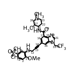 COc1ccc(P(C)(C)=O)cc1NCC#Cc1cc(C(=O)N[C@H]2CCN(C)C[C@@H]2C)c2ncn(CC(F)(F)F)c2c1